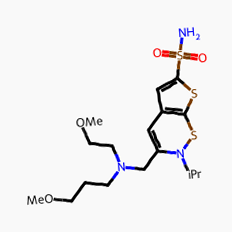 COCCCN(CCOC)CC1=Cc2cc(S(N)(=O)=O)sc2SN1C(C)C